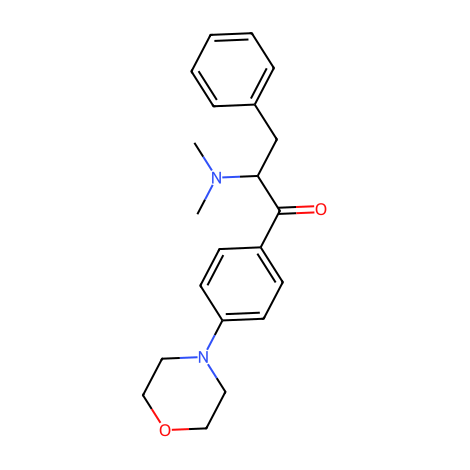 CN(C)C(Cc1ccccc1)C(=O)c1ccc(N2CCOCC2)cc1